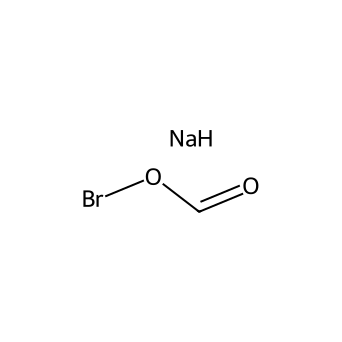 O=COBr.[NaH]